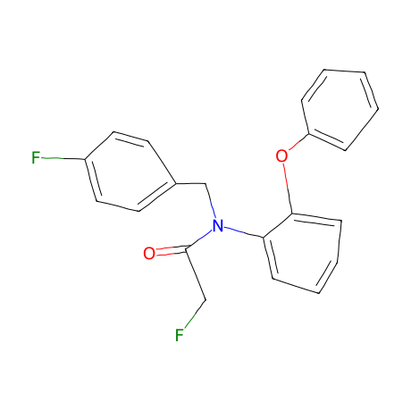 O=C(CF)N(Cc1ccc(F)cc1)c1ccccc1Oc1ccccc1